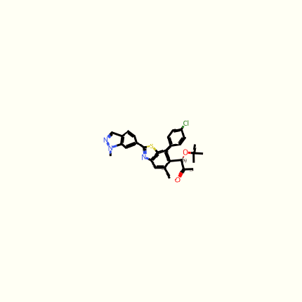 CC(=O)[C@@H](OC(C)(C)C)c1c(C)cc2nc(-c3ccc4cnn(C)c4c3)sc2c1-c1ccc(Cl)cc1